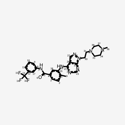 Cc1ccc(C(=O)Nc2cccc(C(F)(F)F)c2)cc1Nc1ncnc2c1cnn2CCN1CCN(C)CC1